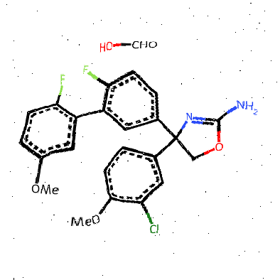 COc1ccc(F)c(-c2cc(C3(c4ccc(OC)c(Cl)c4)COC(N)=N3)ccc2F)c1.O=CO